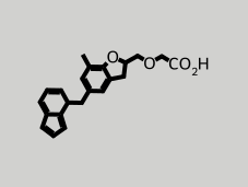 Cc1cc(CC2C=CC=C3C=CC=C32)cc2c1OC(COCC(=O)O)C2